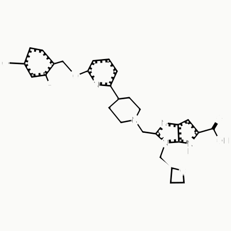 O=C(O)c1cc2nc(CN3CCC(c4cccc(OCc5ccc(Cl)cc5F)n4)CC3)n(C[C@@H]3CCO3)c2[nH]1